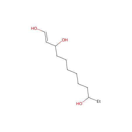 CCC(O)CCCCCCC(O)/C=C/O